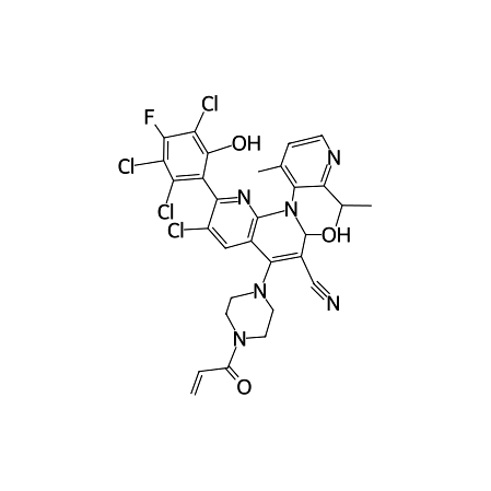 C=CC(=O)N1CCN(C2=C(C#N)C(O)N(c3c(C)ccnc3C(C)C)c3nc(-c4c(O)c(Cl)c(F)c(Cl)c4Cl)c(Cl)cc32)CC1